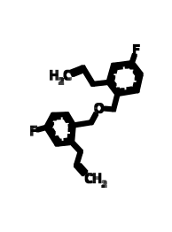 C=CCc1cc(F)ccc1COCc1ccc(F)cc1CC=C